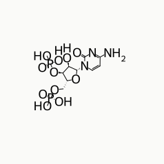 Nc1ccn([C@@H]2O[C@H](COP(=O)(O)O)[C@@H](OP(=O)(O)O)[C@H]2O)c(=O)n1